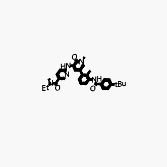 CCN(C)C(=O)c1ccc(Nc2cc(-c3cccc(NC(=O)c4ccc(C(C)(C)C)cc4)c3C)cn(C)c2=O)nc1